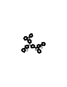 c1ccc(-n2c3ccccc3c3cc(N(c4ccc(-c5nc6ccccc6c6c5ccc5c7ccccc7sc56)cc4)c4ccc5c(c4)oc4ccccc45)ccc32)cc1